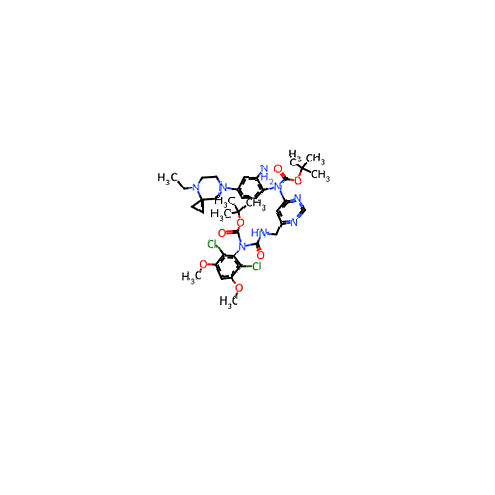 CCN1CCN(c2ccc(N(C(=O)OC(C)(C)C)c3cc(CNC(=O)N(C(=O)OC(C)(C)C)c4c(Cl)c(OC)cc(OC)c4Cl)ncn3)c(N)c2)CC12CC2